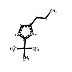 CCCc1csc(C(C)(C)C)n1